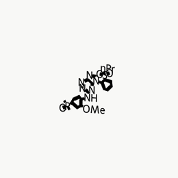 CCCS(=O)(=O)c1ccccc1-n1cnc2nnc(Nc3ccc(P(C)(C)=O)cc3OC)nc21